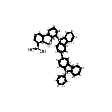 OB(O)C1C=CC=C2c3cccc(-n4c5c(c6cc(-c7ccc8c(c7)c7ccccc7n8-c7ccccc7)ccc64)C=CCC5)c3OCC21